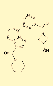 O=C(c1cncc(-c2cccc3c(C(=O)N4CCCCC4)cnn23)c1)N1CC(O)C1